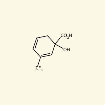 O=C(O)C1(O)C=C(C(F)(F)F)C=CC1